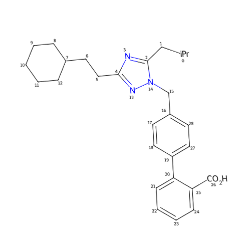 CC(C)Cc1nc(CCC2CCCCC2)nn1Cc1ccc(-c2ccccc2C(=O)O)cc1